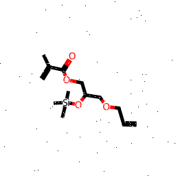 C=CCOCC(COC(=O)C(=C)C)O[Si](C)(C)C